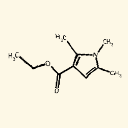 CCOC(=O)c1cc(C)n(C)c1C